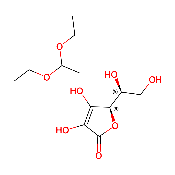 CCOC(C)OCC.O=C1O[C@H]([C@@H](O)CO)C(O)=C1O